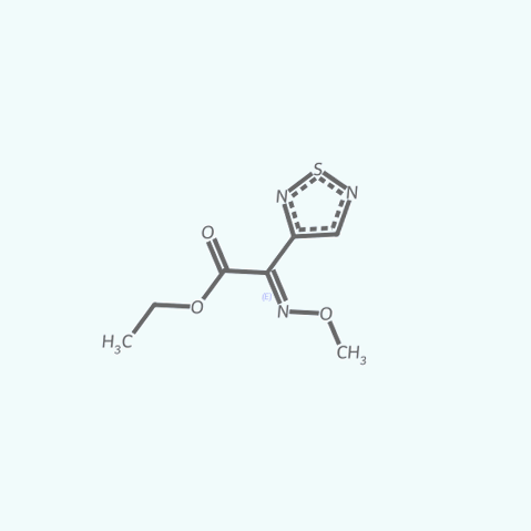 CCOC(=O)/C(=N/OC)c1cnsn1